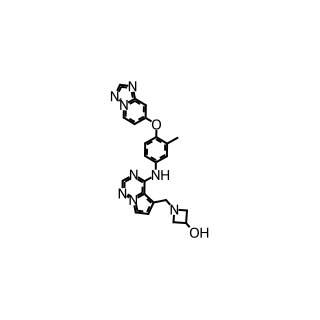 Cc1cc(Nc2ncnn3ccc(CN4CC(O)C4)c23)ccc1Oc1ccn2ncnc2c1